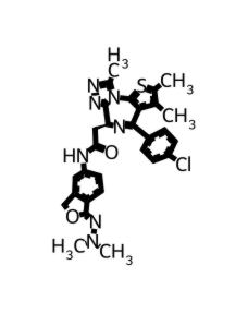 Cc1sc2c(c1C)C(c1ccc(Cl)cc1)=N[C@@H](CC(=O)Nc1ccc3c(c1)CO/C3=N\N(C)C)c1nnc(C)n1-2